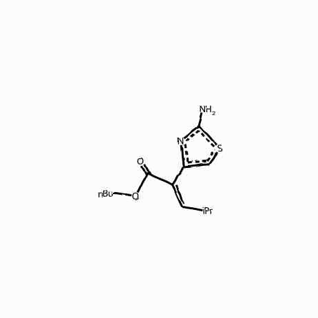 CCCCOC(=O)/C(=C/C(C)C)c1csc(N)n1